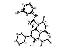 CCC(C)[C@H]1C(=O)N(C2CCCCC2)C[C@H]2N1C(=O)CN(C)N2C(=O)Nc1cccc(F)c1